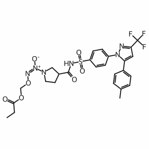 CCC(=O)OCO/N=[N+](/[O-])N1CCC(C(=O)NS(=O)(=O)c2ccc(-n3nc(C(F)(F)F)cc3-c3ccc(C)cc3)cc2)C1